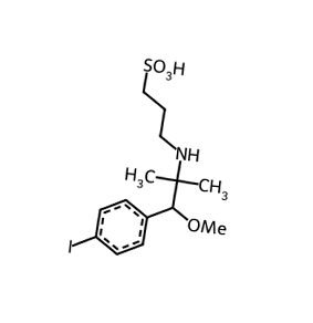 COC(c1ccc(I)cc1)C(C)(C)NCCCS(=O)(=O)O